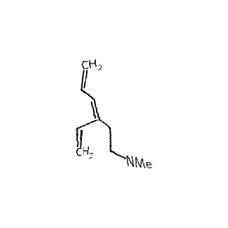 C=C/C=C(\C=C)CCNC